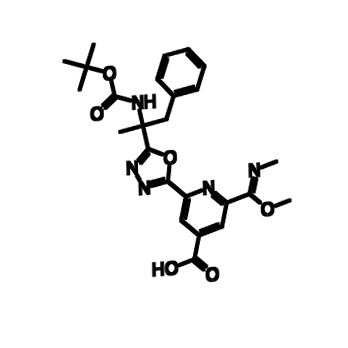 C/N=C(\OC)c1cc(C(=O)O)cc(-c2nnc(C(C)(Cc3ccccc3)NC(=O)OC(C)(C)C)o2)n1